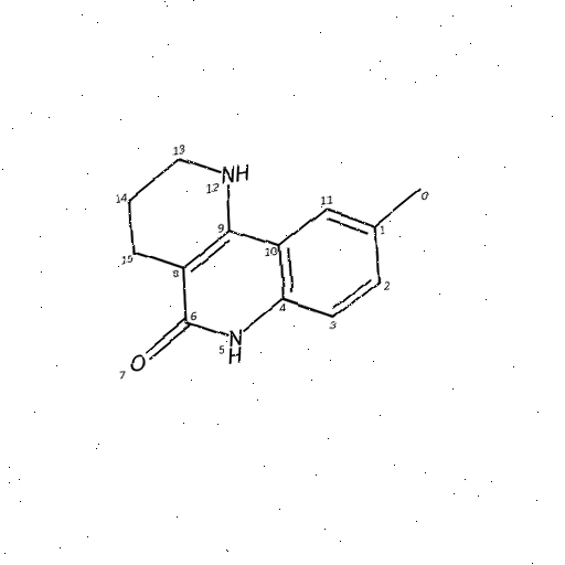 Cc1ccc2[nH]c(=O)c3c(c2c1)NCCC3